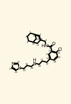 O=C(NCC1=C=C2CCCC(C2)C1)c1cc(CCCNCCCn2ccnc2)ccc1Cl